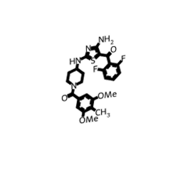 COc1cc(C(=O)N2CCC(Nc3nc(N)c(C(=O)c4c(F)cccc4F)s3)CC2)cc(OC)c1C